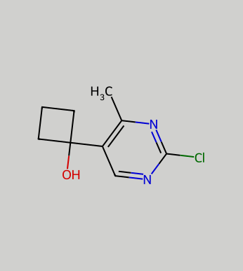 Cc1nc(Cl)ncc1C1(O)CCC1